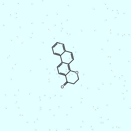 O=C1CCOc2c1ccc1c2ccc2ccccc21